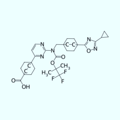 CC(C)(OC(=O)N(CC12CCC(c3nc(C4CC4)no3)(CC1)CC2)c1nccc(C23CCC(C(=O)O)(CC2)CC3)n1)C(F)(F)F